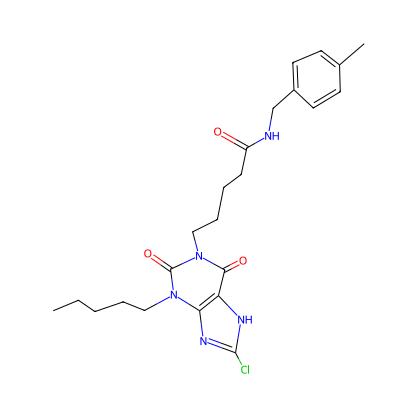 CCCCCn1c(=O)n(CCCCC(=O)NCc2ccc(C)cc2)c(=O)c2[nH]c(Cl)nc21